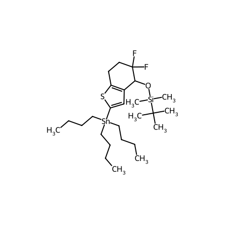 CCC[CH2][Sn]([CH2]CCC)([CH2]CCC)[c]1cc2c(s1)CCC(F)(F)C2O[Si](C)(C)C(C)(C)C